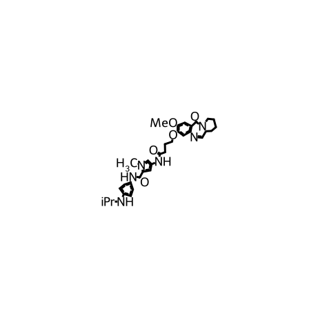 COc1cc2c(cc1OCCCC(=O)Nc1cc(C(=O)Nc3ccc(NC(C)C)cc3)n(C)c1)N=CC1CCCCN1C2=O